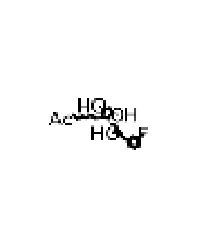 CC(=O)CCCCCC[C@@H]1[C@@H](CCC(O)C=Cc2cccc(F)c2)[C@H](O)C[C@@H]1O